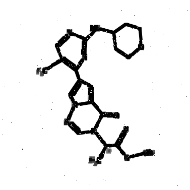 C[C@H](C(=O)OC(C)(C)C)n1cnn2cc(-c3nc(NC4CCOCC4)ncc3C(F)(F)F)cc2c1=O